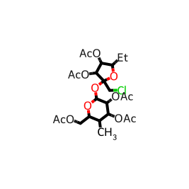 CCC1OC(CCl)(OC2OC(COC(C)=O)C(C)C(OC(C)=O)C2OC(C)=O)C(OC(C)=O)C1OC(C)=O